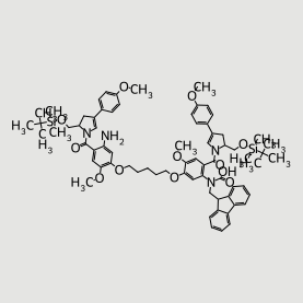 COc1ccc(C2=CN(C(=O)c3cc(OC)c(OCCCCCOc4cc(N(CC5c6ccccc6-c6ccccc65)C(=O)O)c(C(=O)N5C=C(c6ccc(OC)cc6)CC5CO[Si](C)(C)C(C)(C)C)cc4OC)cc3N)C(CO[Si](C)(C)C(C)(C)C)C2)cc1